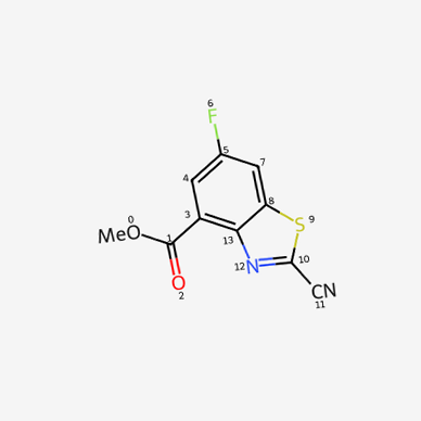 COC(=O)c1cc(F)cc2sc(C#N)nc12